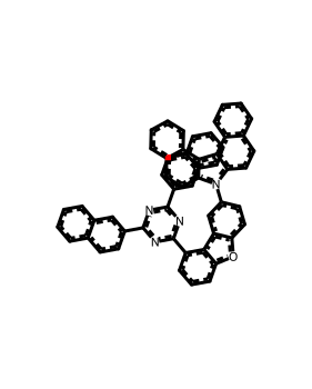 c1ccc2cc(-c3nc(-c4ccc5ccccc5c4)nc(-c4cccc5oc6ccc(-n7c8ccc9ccccc9c8c8c9ccccc9ccc87)cc6c45)n3)ccc2c1